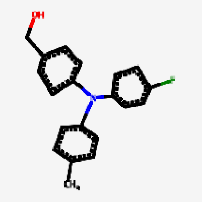 Cc1ccc(N(c2ccc(F)cc2)c2ccc(CO)cc2)cc1